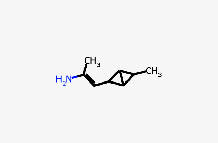 C/C(N)=C\C1C2C(C)C12